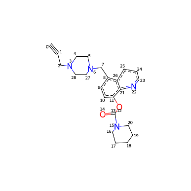 C#CCN1CCN(Cc2ccc(OC(=O)N3CCCCC3)c3ncccc23)CC1